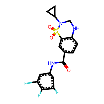 O=C(Nc1cc(F)c(F)c(F)c1)c1ccc2c(c1)S(=O)(=O)N(C1CC1)CN2